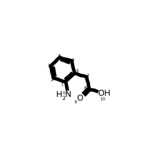 Nc1ccc[c]c1CC(=O)O